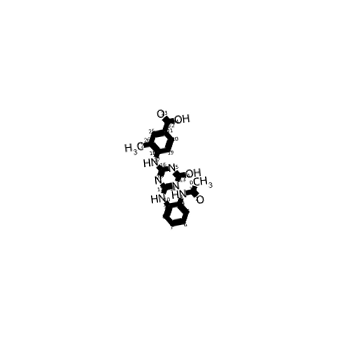 CC(=O)Nc1ccccc1Nc1nc(O)nc(Nc2ccc(C(=O)O)cc2C)n1